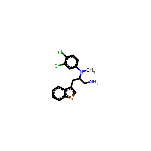 CN(c1ccc(Cl)c(Cl)c1)C(CN)Cc1csc2ccccc12